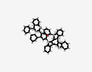 c1ccc(-c2cc(-n3c4ccccc4c4c5oc6ccccc6c5c5c6ccccc6n(-c6ccccc6)c5c43)ccc2-c2nc(-c3ccccc3)c3ccccc3n2)cc1